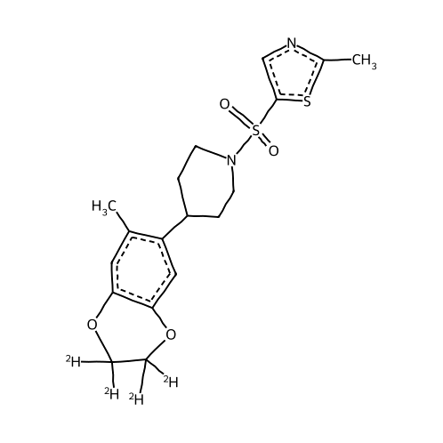 [2H]C1([2H])Oc2cc(C)c(C3CCN(S(=O)(=O)c4cnc(C)s4)CC3)cc2OC1([2H])[2H]